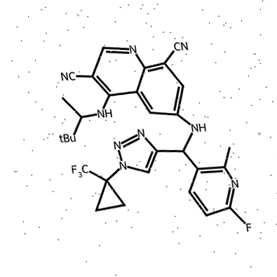 Cc1nc(F)ccc1C(Nc1cc(C#N)c2ncc(C#N)c(NC(C)C(C)(C)C)c2c1)c1cn(C2(C(F)(F)F)CC2)nn1